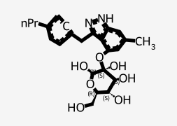 CCCc1ccc(Cc2n[nH]c3cc(C)cc(O[C@]4(O)[C@H](O)O[C@H](CO)[C@@H](O)[C@@H]4O)c23)cc1